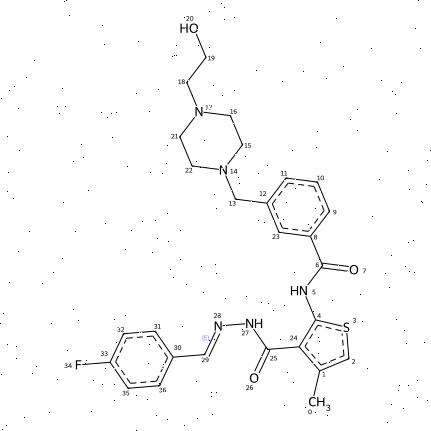 Cc1csc(NC(=O)c2cccc(CN3CCN(CCO)CC3)c2)c1C(=O)N/N=C/c1ccc(F)cc1